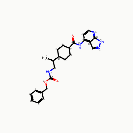 CC(CNC(=O)OCc1ccccc1)C1CCC(C(=O)Nc2ccnc3[nH]ncc23)CC1